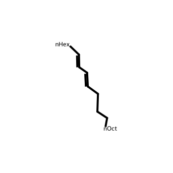 CCCCCCC=CC=CCCCCCCCCCCC